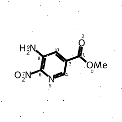 COC(=O)c1cnc([N+](=O)[O-])c(N)c1